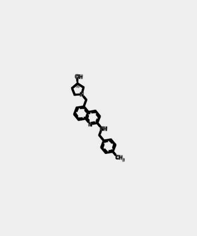 Cc1ccc(CNc2ccc3c(CN4CC[C@@H](O)C4)cccc3n2)cc1